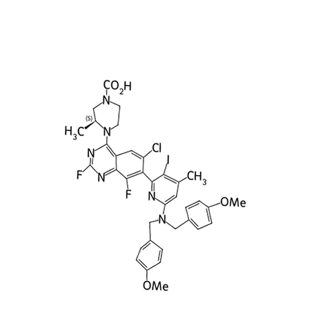 COc1ccc(CN(Cc2ccc(OC)cc2)c2cc(C)c(I)c(-c3c(Cl)cc4c(N5CCN(C(=O)O)C[C@@H]5C)nc(F)nc4c3F)n2)cc1